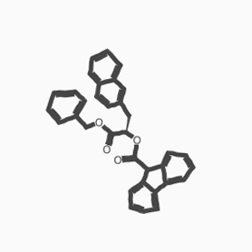 O=C(O[C@H](Cc1ccc2ccccc2c1)C(=O)OCc1ccccc1)C1c2ccccc2-c2ccccc21